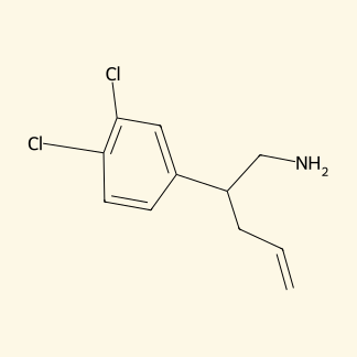 C=CCC(CN)c1ccc(Cl)c(Cl)c1